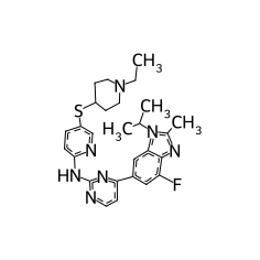 CCN1CCC(Sc2ccc(Nc3nccc(-c4cc(F)c5nc(C)n(C(C)C)c5c4)n3)nc2)CC1